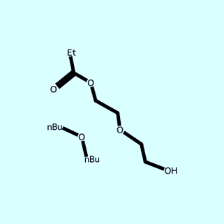 CCC(=O)OCCOCCO.CCCCOCCCC